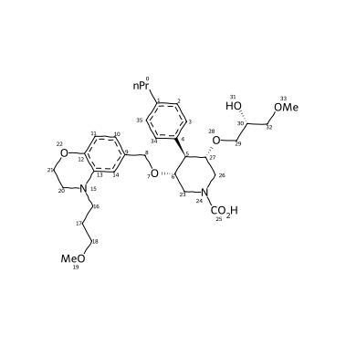 CCCc1ccc([C@@H]2[C@@H](OCc3ccc4c(c3)N(CCCOC)CCO4)CN(C(=O)O)C[C@H]2OC[C@H](O)COC)cc1